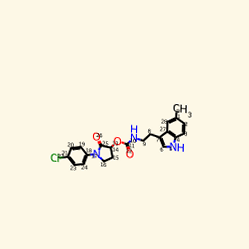 Cc1ccc2[nH]cc(CCNC(=O)OC3CCN(c4ccc(Cl)cc4)C3=O)c2c1